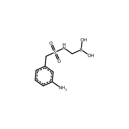 Nc1cccc(CS(=O)(=O)NCB(O)O)c1